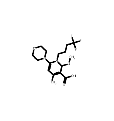 COC1C(C(=O)O)=C(C)C=C(N2CCOCC2)N1CCCC(F)(F)F